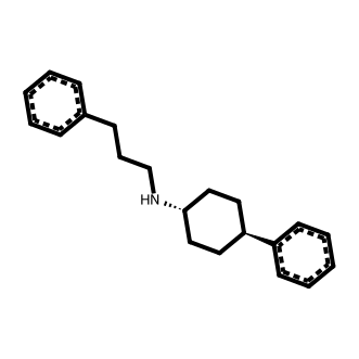 c1ccc(CCCN[C@H]2CC[C@H](c3ccccc3)CC2)cc1